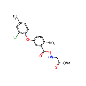 COC(=O)CNOC(=O)c1cc(Oc2ccc(C(F)(F)F)cc2Cl)ccc1[N+](=O)[O-]